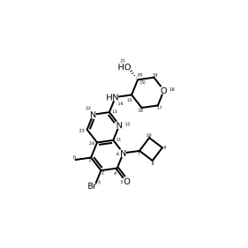 Cc1c(Br)c(=O)n(C2CCC2)c2nc(NC3CCOC[C@H]3O)ncc12